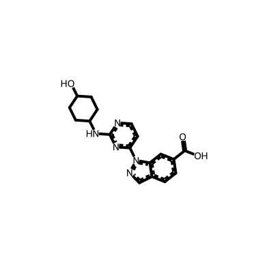 O=C(O)c1ccc2cnn(-c3ccnc(NC4CCC(O)CC4)n3)c2c1